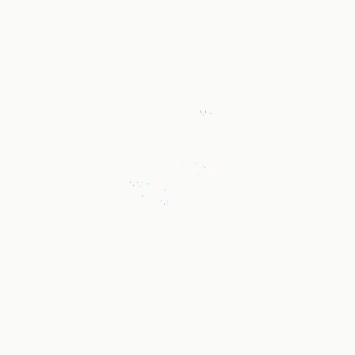 CNC[C@H](CC1CCCCC1)NC(=O)C1CCC[C@@H]([C@@](O)(CCCCOC)c2ccccc2OC2CCCC2)C1